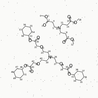 COC(=O)CCN(CCC(=O)OC)CCC(=O)OC.O=C(COCCN(CCOCC(=O)OC1CCCCC1)CCOCC(=O)OC1CCCCC1)OC1CCCCC1